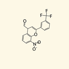 O=CC1C=C(c2cccc(C(F)(F)F)c2)Oc2c1cccc2[N+](=O)[O-]